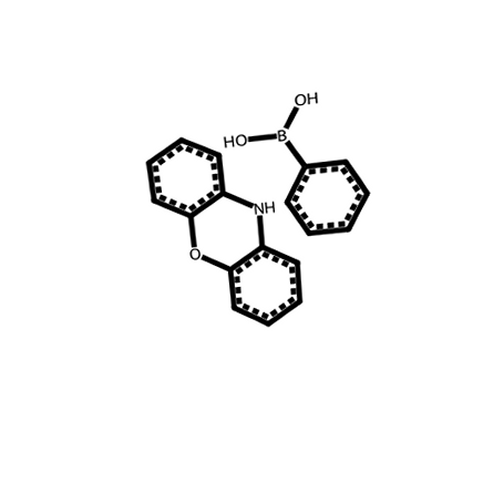 OB(O)c1ccccc1.c1ccc2c(c1)Nc1ccccc1O2